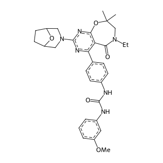 CCN1CC(C)(C)Oc2nc(N3CC4CCC(C3)O4)nc(-c3ccc(NC(=O)Nc4cccc(OC)c4)cc3)c2C1=O